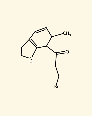 CC1C=CC2=C(NCC2)C1C(=O)CCBr